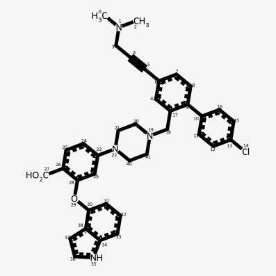 CN(C)CC#Cc1ccc(-c2ccc(Cl)cc2)c(CN2CCN(c3ccc(C(=O)O)c(Oc4cccc5[nH]ccc45)c3)CC2)c1